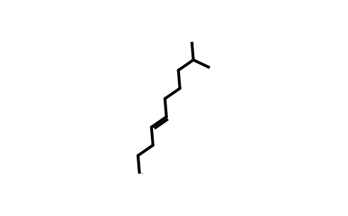 [CH2]CC/C=C/CCCC(C)C